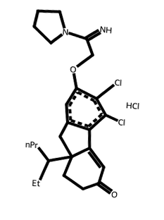 CCCC(CC)C12CCC(=O)C=C1c1c(cc(OCC(=N)N3CCCC3)c(Cl)c1Cl)C2.Cl